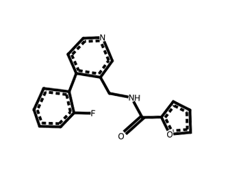 O=C(NCc1cnccc1-c1ccccc1F)c1ccco1